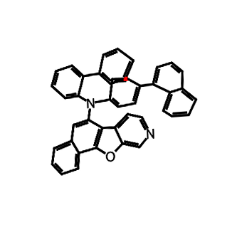 c1ccc(-c2ccccc2N(c2ccc(-c3cccc4ccccc34)cc2)c2cc3ccccc3c3oc4cnccc4c23)cc1